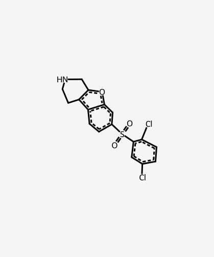 O=S(=O)(c1ccc2c3c(oc2c1)CNCC3)c1cc(Cl)ccc1Cl